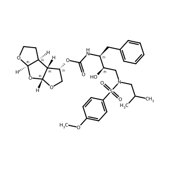 COc1ccc(S(=O)(=O)N(CC(C)C)C[C@@H](O)[C@H](Cc2ccccc2)NC(=O)O[C@@H]2CO[C@@H]3O[C@H]4OCC[C@H]4[C@@H]32)cc1